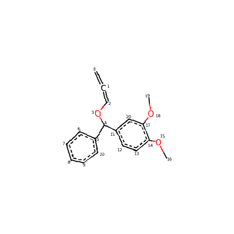 C=C=COC(c1ccccc1)c1ccc(OC)c(OC)c1